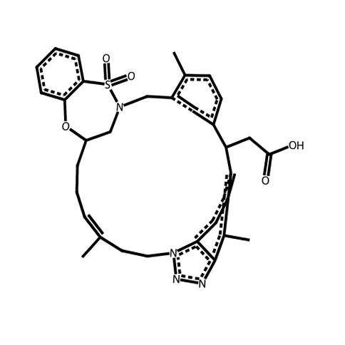 C/C1=C/CCC2CN(Cc3cc(ccc3C)C(CC(=O)O)c3ccc4c(nnn4CC1)c3C)S(=O)(=O)c1ccccc1O2